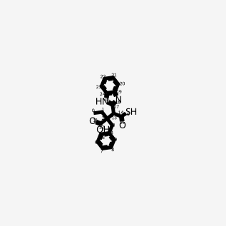 CCC(Cc1ccccc1)(C(=O)O)C(C(=O)S)c1nc2ccccc2[nH]1